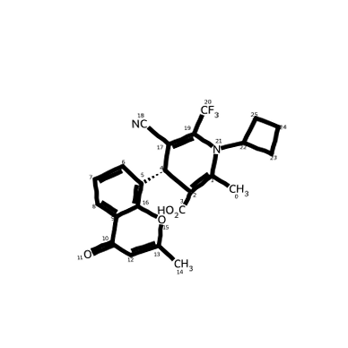 CC1=C(C(=O)O)[C@H](c2cccc3c(=O)cc(C)oc23)C(C#N)=C(C(F)(F)F)N1C1CCC1